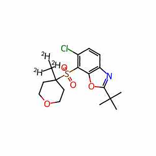 [2H]C([2H])([2H])C1(S(=O)(=O)c2c(Cl)ccc3nc(C(C)(C)C)oc23)CCOCC1